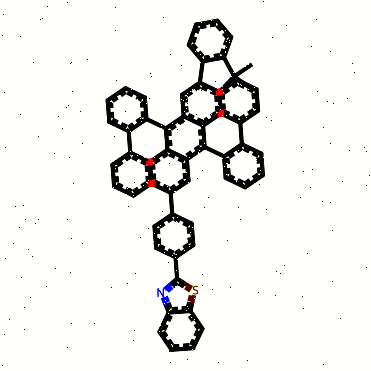 CC1(C)c2ccccc2-c2cc3c(-c4ccccc4-c4ccccc4)c4ccc(-c5ccc(-c6nc7ccccc7s6)cc5)cc4c(-c4ccccc4-c4ccccc4)c3cc21